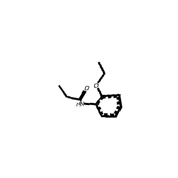 CCOc1ccccc1NC(=O)CC